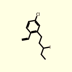 C=Cc1ccc(Cl)cc1CCC(I)CC